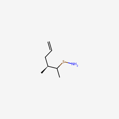 C=CC[C@H](C)C(C)SN